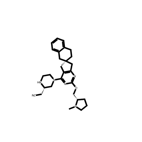 CN1CCC[C@H]1COc1nc2c(c(N3CCN[C@@H](CC#N)C3)n1)C[C@]1(CCc3ccccc3C1)C2